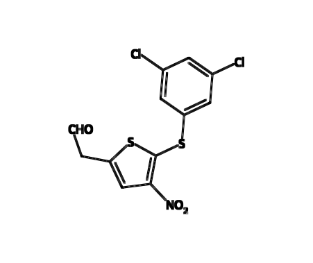 O=CCc1cc([N+](=O)[O-])c(Sc2cc(Cl)cc(Cl)c2)s1